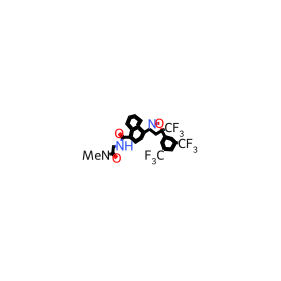 CNC(=O)CNC(=O)c1ccc(C2=NOC(c3cc(C(F)(F)F)cc(C(F)(F)F)c3)(C(F)(F)F)C2)c2ccccc12